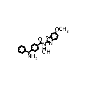 COc1ccc2nc(NC(=O)c3ccc(C(N)c4ccccc4)cc3)sc2c1.Cl